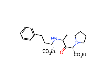 CCOC(=O)[C@H](C(=O)[C@H](C)N[C@@H](CCc1ccccc1)C(=O)OCC)N1CCCC1